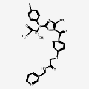 C[C@H](C(N)=O)N(c1ccc(F)cc1)c1nc(N)c(C(=O)c2ccc(OCC(=O)NCc3cccnc3)cc2)s1